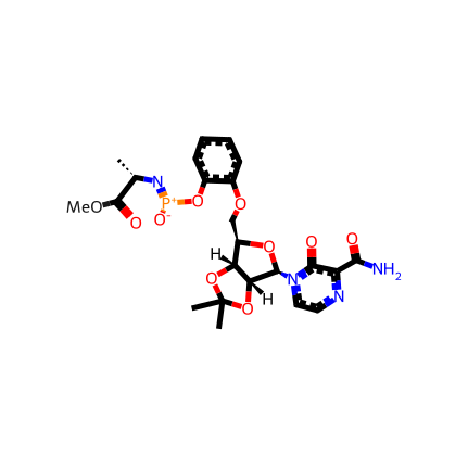 COC(=O)[C@H](C)/N=[P+](\[O-])Oc1ccccc1OC[C@H]1O[C@@H](n2ccnc(C(N)=O)c2=O)[C@@H]2OC(C)(C)O[C@@H]21